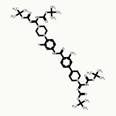 Cc1cc(C2=CCN(/C(=N/C(=O)OC(C)(C)C)NC(=O)OC(C)(C)C)CC2)ccc1C(=O)Nc1ccc(N2CCN(/C(=N/C(=O)OC(C)(C)C)NC(=O)OC(C)(C)C)CC2)c(F)c1